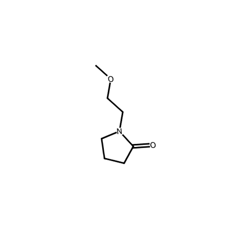 COCCN1CCCC1=O